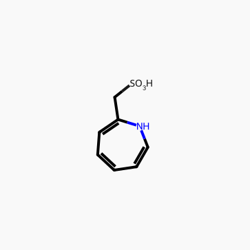 O=S(=O)(O)CC1=CC=CC=CN1